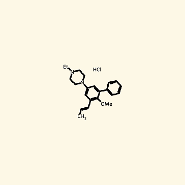 CC=Cc1cc(N2CCN(CC)CC2)cc(-c2ccccc2)c1OC.Cl